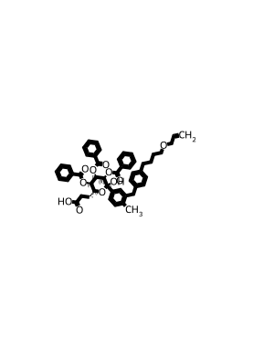 C=CCOCCCCc1ccc(Cc2cc([C@]3(O)O[C@H]([CH]CC(=O)O)[C@@H](OC(=O)c4ccccc4)[C@H](OC(=O)c4ccccc4)[C@H]3OC(=O)c3ccccc3)ccc2C)cc1